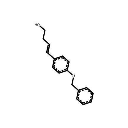 OCCC=Cc1ccc(OCc2ccccc2)cc1